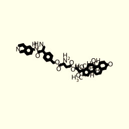 C[C@@H]1C[C@H]2[C@@H]3CCC4=CC(=O)C=C[C@]4(C)[C@@]3(F)[C@@H](O)C[C@]2(C)[C@@]1(O)C(=O)COC(=O)CC(N)C(=O)OCc1ccc(C(CN)C(=O)Nc2ccc3cnccc3c2)cc1